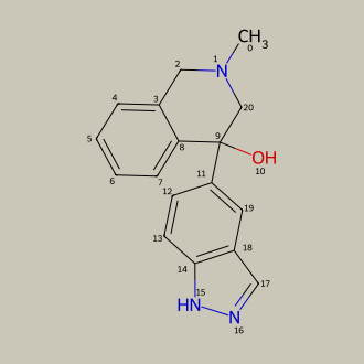 CN1Cc2ccccc2C(O)(c2ccc3[nH]ncc3c2)C1